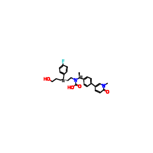 C[C@@H](c1ccc(-c2ccc(=O)n(C)c2)cc1)N(CC[C@H](CCCO)c1ccc(F)cc1)C(=O)O